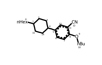 CCCCCCC1CCC(c2ccc(OCCCC)c(C#N)c2)CC1